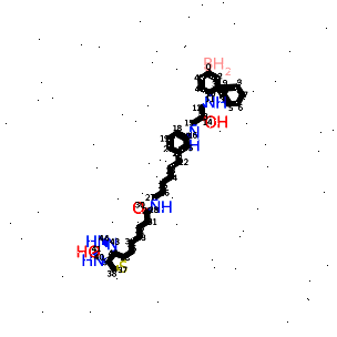 BC1=CC2(C3=CCCC=C32)C(NCC(O)CNc2cccc(CCCCCCNC(=O)CCCCCC3SCC(NO)C3N=N)c2)C=C1